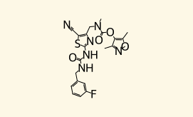 Cc1noc(C)c1OC(=O)N(C)Cc1nc(NC(=O)NCc2cccc(F)c2)sc1C#N